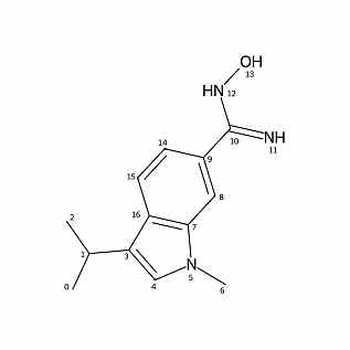 CC(C)c1cn(C)c2cc(C(=N)NO)ccc12